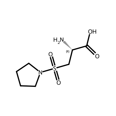 N[C@@H](CS(=O)(=O)N1CCCC1)C(=O)O